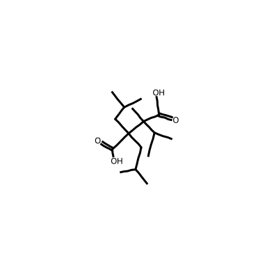 CC(C)CC(CC(C)C)(C(=O)O)C(C)(C(=O)O)C(C)C